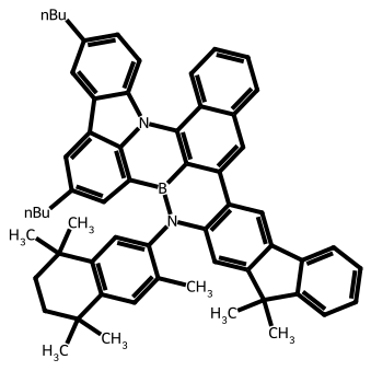 CCCCc1ccc2c(c1)c1cc(CCCC)cc3c1n2-c1c2c(cc4ccccc14)-c1cc4c(cc1N(c1cc5c(cc1C)C(C)(C)CCC5(C)C)B23)C(C)(C)c1ccccc1-4